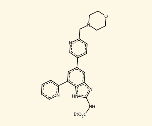 CCOC(=O)Nc1nc2cc(-c3ccc(CN4CCOCC4)nc3)cc(-c3ccccn3)c2[nH]1